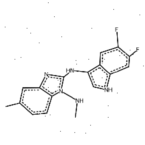 CNn1c(Nc2c[nH]c3cc(F)c(F)cc23)nc2cc(C)ccc21